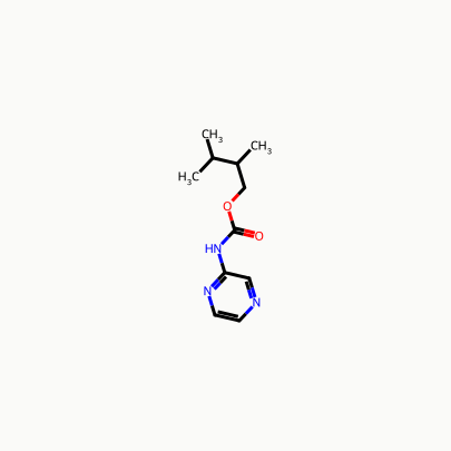 CC(C)C(C)COC(=O)Nc1cnccn1